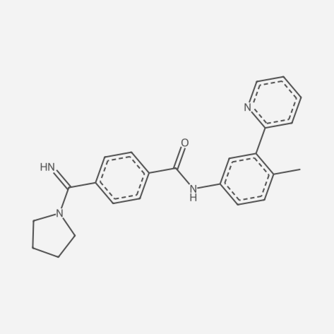 Cc1ccc(NC(=O)c2ccc(C(=N)N3CCCC3)cc2)cc1-c1ccccn1